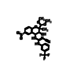 COC(OC)C1(C)Oc2ccc([N+](=O)[O-])cc2C(NC(=NC#N)Nc2cccc(C(F)(F)F)c2)C1O